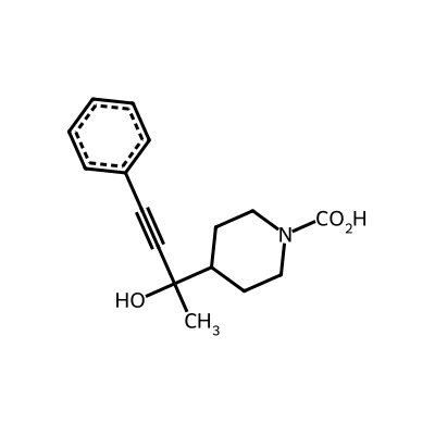 CC(O)(C#Cc1ccccc1)C1CCN(C(=O)O)CC1